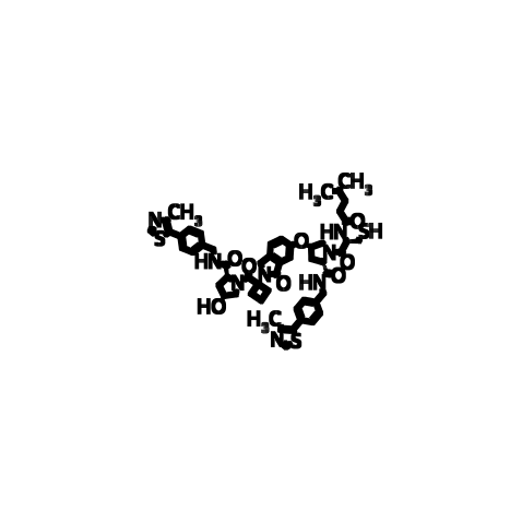 Cc1ncsc1-c1ccc(CNC(=O)[C@@H]2C[C@@H](Oc3ccc4c(c3)C(=O)N(C3(C(=O)N5C[C@H](O)C[C@H]5C(=O)NCc5ccc(-c6scnc6C)cc5)CCC3)C4)CN2C(=O)[C@H](CS)NC(=O)CCC(C)C)cc1